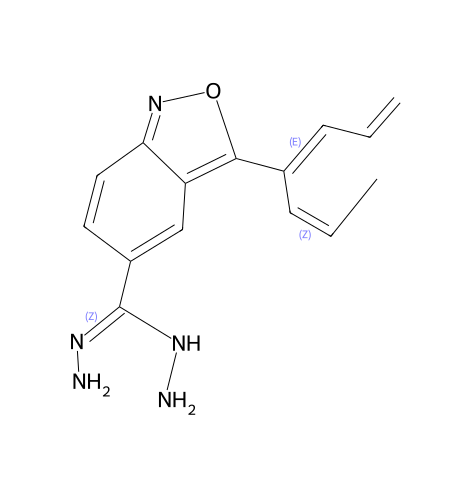 C=C/C=C(\C=C/C)c1onc2ccc(/C(=N/N)NN)cc12